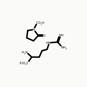 CCOC(=O)C(N)CCCNC(=N)N.O=C(O)N1CCCC1=O